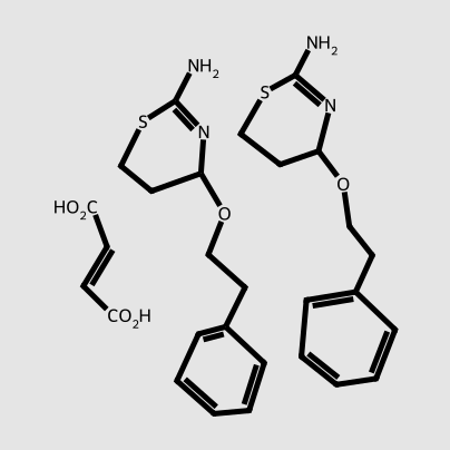 NC1=NC(OCCc2ccccc2)CCS1.NC1=NC(OCCc2ccccc2)CCS1.O=C(O)/C=C/C(=O)O